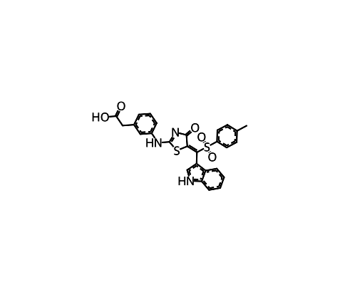 Cc1ccc(S(=O)(=O)C(=C2SC(Nc3cccc(CC(=O)O)c3)=NC2=O)c2c[nH]c3ccccc23)cc1